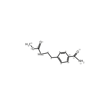 COC(=O)NCCc1ccc(C(N)=O)cc1